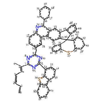 C=C/C=C\C=C(/C)c1nc(-c2ccc3nc(-c4ccccc4)c4cc5c(cc4c3c2)C2(c3ccccc3Sc3ccccc32)c2ccccc2-5)nc(-c2cccc3c2sc2ccccc23)n1